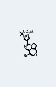 CCOC(=O)C(C)(C)n1cc(C2=NC=C3C(Br)=COCC4=C3N2CC4)cn1